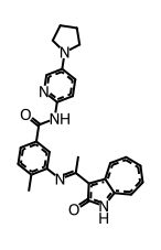 C/C(=N\c1cc(C(=O)Nc2ccc(N3CCCC3)cn2)ccc1C)c1c2cccccc-2[nH]c1=O